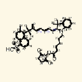 C=C(/C=C/C=C/C=C1/N(CCCCCC(=O)ON2C(=O)CCC2=O)c2ccccc2C1(C)C)C(C)(C)c1c(C)ccc2c(S(=O)(=O)O)cccc12